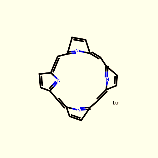 C1=CC2=NC1=CC1=NC(=CC3=NC(=CC4=NC(=C2)C=C4)C=C3)C=C1.[Lu]